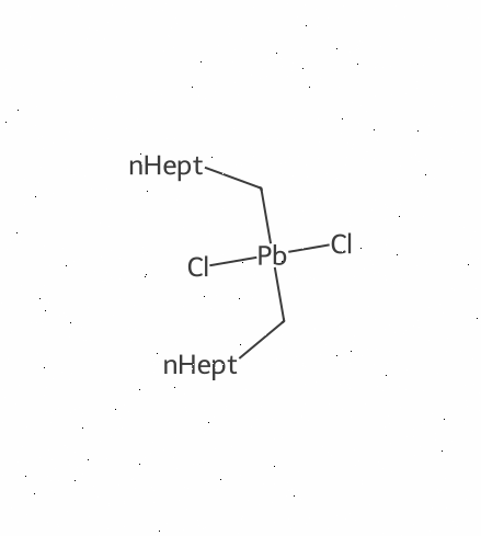 CCCCCCC[CH2][Pb]([Cl])([Cl])[CH2]CCCCCCC